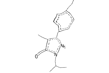 Cc1ccc(-c2[nH]n(C(C)C)c(=O)c2C)cc1